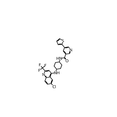 O=C(NC1CCC(Nc2cc(C(F)(F)F)nc3ccc(Cl)cc23)CC1)c1cncc(-c2cccs2)c1